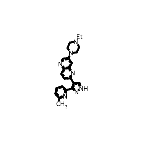 CCN1CCN(c2cnc3ccc(-c4c[nH]nc4-c4cccc(C)n4)nc3c2)CC1